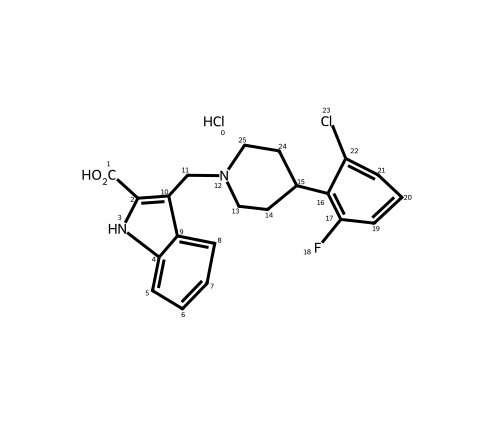 Cl.O=C(O)c1[nH]c2ccccc2c1CN1CCC(c2c(F)cccc2Cl)CC1